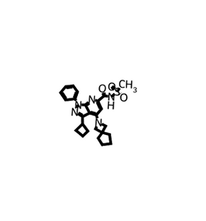 CS(=O)(=O)NC(=O)c1cc(N2CC3(CCCC3)C2)c2c(C3CCC3)nn(-c3ccccc3)c2n1